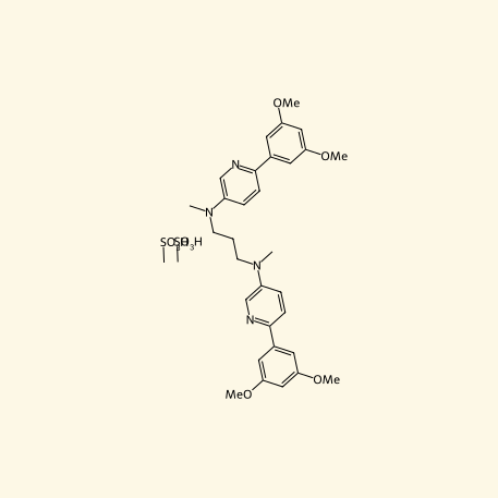 COc1cc(OC)cc(-c2ccc(N(C)CCCN(C)c3ccc(-c4cc(OC)cc(OC)c4)nc3)cn2)c1.CS(=O)(=O)O.CS(=O)(=O)O